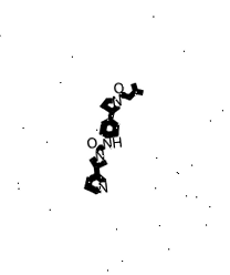 CC(C)CC(=O)N1CCC(c2ccc(NC(=O)N3CC(c4cccnc4)C3)cc2)C1